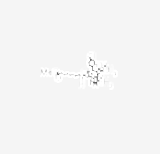 COC(=O)CCCCCCCNC(=O)C[C@@H]1N=C(c2ccc(Cl)cc2)c2c(sc(C)c2C)-n2c(C)nnc21